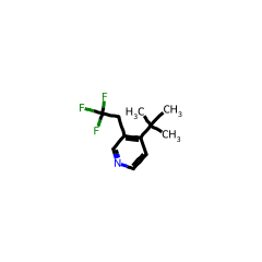 CC(C)(C)c1ccncc1CC(F)(F)F